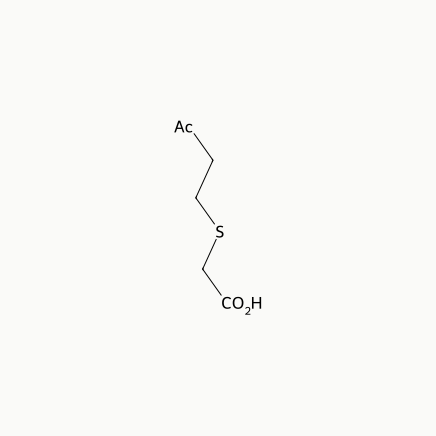 CC(=O)CCSCC(=O)O